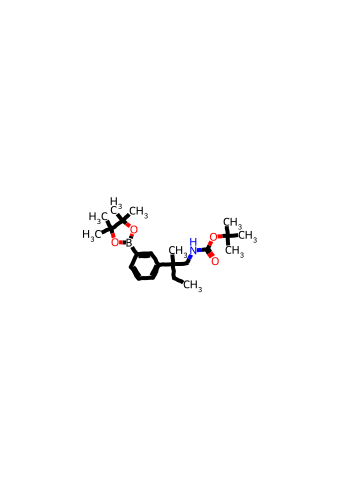 CCC(C)(CNC(=O)OC(C)(C)C)c1cccc(B2OC(C)(C)C(C)(C)O2)c1